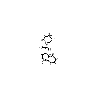 O=C(Nc1ccc(F)c2ccccc12)N1CCNCC1